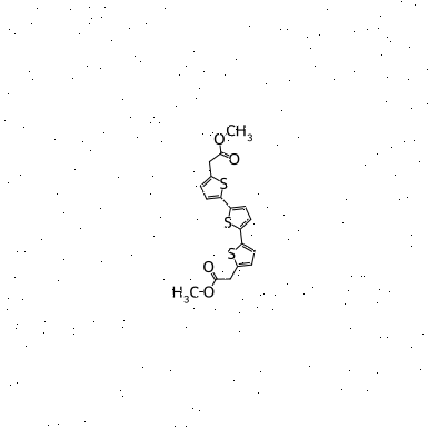 COC(=O)Cc1ccc(-c2ccc(-c3ccc(CC(=O)OC)s3)s2)s1